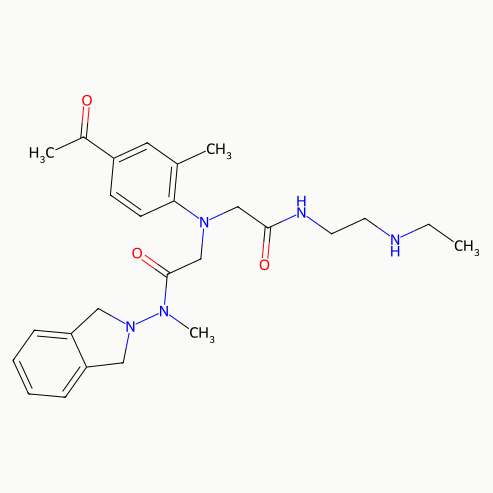 CCNCCNC(=O)CN(CC(=O)N(C)N1Cc2ccccc2C1)c1ccc(C(C)=O)cc1C